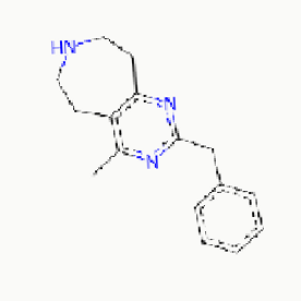 Cc1nc(Cc2ccccc2)nc2c1CCNCC2